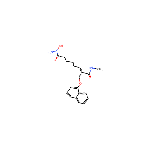 CNC(=O)/C(=C/CCCCC(=O)N(N)O)COc1cccc2ccccc12